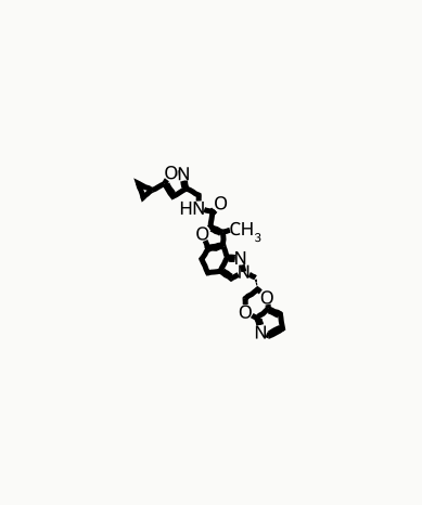 Cc1c(C(=O)NCc2cc(C3CC3)on2)oc2c1-c1nn(C[C@H]3COc4ncccc4O3)cc1CC2